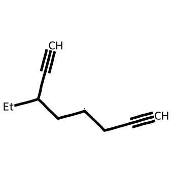 C#CC[CH]CC(C#C)CC